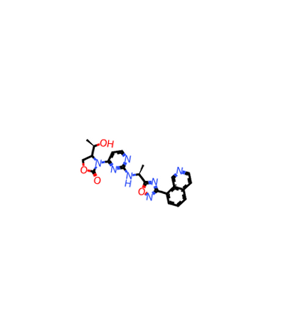 C[C@H](Nc1nccc(N2C(=O)OCC2[C@@H](C)O)n1)c1nc(-c2cccc3ccncc23)no1